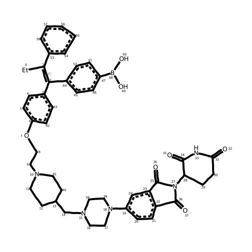 CC/C(=C(\c1ccc(OCCN2CCC(CN3CCN(c4ccc5c(c4)C(=O)N(C4CCC(=O)NC4=O)C5=O)CC3)CC2)cc1)c1ccc(B(O)O)cc1)c1ccccc1